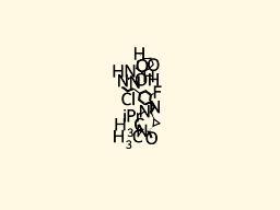 CC(C)n1c([C@H]2C[C@@H]2C(=O)N(C)C)nc2c(F)cc(-c3nc(N[C@@H]4C[C@H]5CO[C@H](O5)[C@H]4O)ncc3Cl)cc21